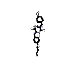 CCCCOc1ccc(/C=c2\[nH]c(=O)/c(=C/c3ccc(OC)cc3)[nH]c2=O)cc1